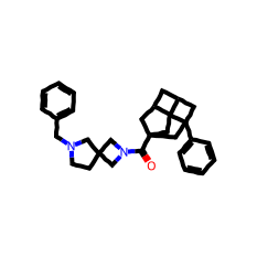 O=C(N1CC2(CCN(Cc3ccccc3)C2)C1)C12CC3CC4CC(c5ccccc5)(C1)C34C2